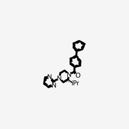 CC(C)[C@H]1CN(c2ncccn2)CCN1C(=O)c1ccc(-c2ccccc2)cc1